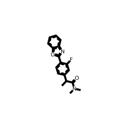 CC(C(=O)N(C)C)c1ccc(-c2nc3ccccc3o2)c(F)c1